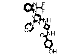 O=C(N[C@H]1C[C@H](Nc2cc(-n3c(C(F)F)nc4ccccc43)nc(N3CCOCC3)n2)C1)C1CCC(O)CC1